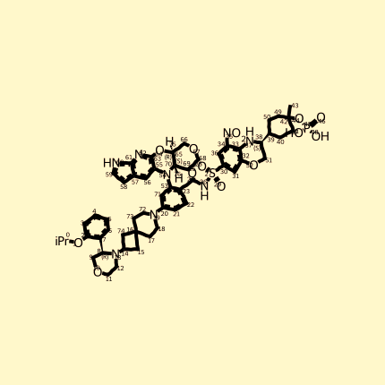 CC(C)Oc1ccccc1[C@@H]1COCCN1C1CC2(CCN(c3ccc(C(=O)NS(=O)(=O)c4cc5c(c([N+](=O)[O-])c4)N[C@@H](C4CCC(C)(OP(=O)(O)O)CC4)CO5)c(N4c5cc6cc[nH]c6nc5O[C@H]5COCC[C@@H]54)c3)CC2)C1